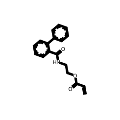 C=CC(=O)OCCNC(=O)c1ccccc1-c1ccccc1